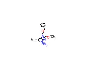 CCOCC1N=C2C(=CC(C)=CN2N)N1CCOCc1ccccc1